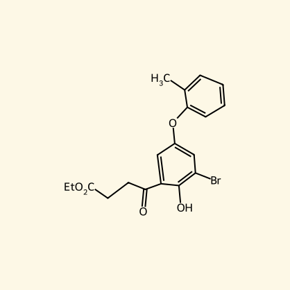 CCOC(=O)CCC(=O)c1cc(Oc2ccccc2C)cc(Br)c1O